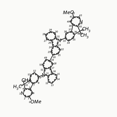 COc1cnc2c(c1)-c1cc(-n3c4ccccc4c4cc(-c5ccc6c(c5)c5ccccc5n6-c5ccc6c(c5)-c5cc(OC)cnc5C6(C)C)ccc43)ccc1C2(C)C